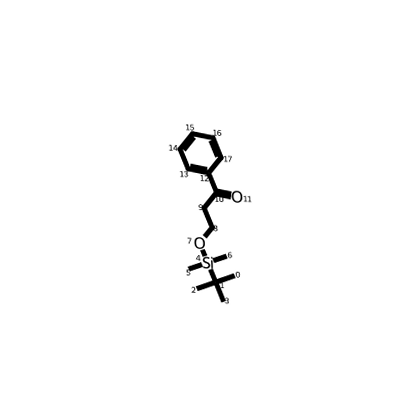 CC(C)(C)[Si](C)(C)OCCC(=O)c1ccccc1